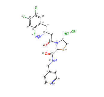 Cl.Cl.N[C@@H](CC(=O)N1CCSC1C(=O)NCc1ccncc1)Cc1cc(F)c(F)cc1F